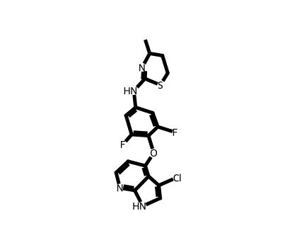 CC1CCSC(Nc2cc(F)c(Oc3ccnc4[nH]cc(Cl)c34)c(F)c2)=N1